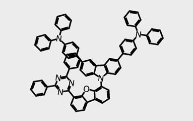 c1ccc(-c2nc(-c3ccccc3)nc(-c3cccc4c3oc3c(-n5c6ccc(-c7ccc(N(c8ccccc8)c8ccccc8)cc7)cc6c6cc(-c7ccc(N(c8ccccc8)c8ccccc8)cc7)ccc65)cccc34)n2)cc1